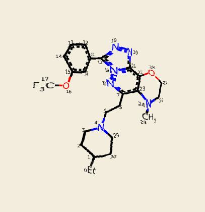 CCC1CCN(CCc2nn3c(-c4cccc(OC(F)(F)F)c4)nnc3c3c2N(C)CCO3)CC1